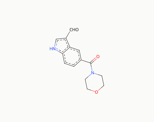 O=Cc1c[nH]c2ccc(C(=O)N3CCOCC3)cc12